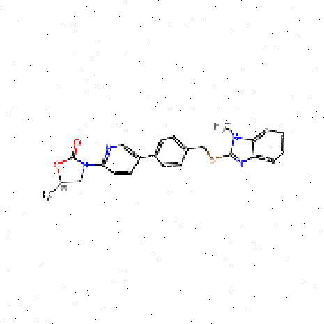 C[C@H]1CN(c2ccc(-c3ccc(CSc4nc5ccccc5n4C)cc3)cn2)C(=O)O1